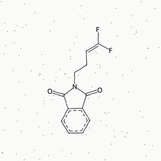 O=C1c2ccccc2C(=O)N1CCC=C(F)F